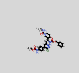 CNC(=O)N1CCCC([C@H](Cc2cc(-c3ccc(NC(=O)OC)cc3)c(Cl)nn2)NC(=O)OCc2ccccc2)C1